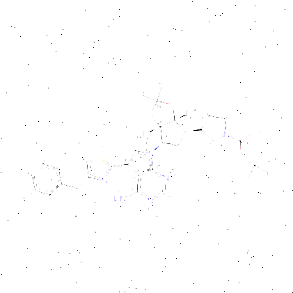 CC(C)(C)OC(=O)N1CCC([C@H]2C[C@@H](n3cc(-c4nc(Cc5ccccc5)cs4)c4c(N)ncnc43)[C@@H]3OC(C)(C)O[C@@H]32)C1